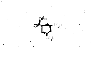 CC(C)COC(=O)C1CC(C(=O)O)CC(C(=O)O)C1